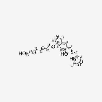 CC(=O)N[C@@H](C=O)CSCc1cc2cccc(OCCOCCOCCO)c2cc1O